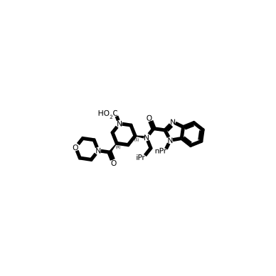 CCCn1c(C(=O)N(CC(C)C)[C@H]2C[C@@H](C(=O)N3CCOCC3)CN(C(=O)O)C2)nc2ccccc21